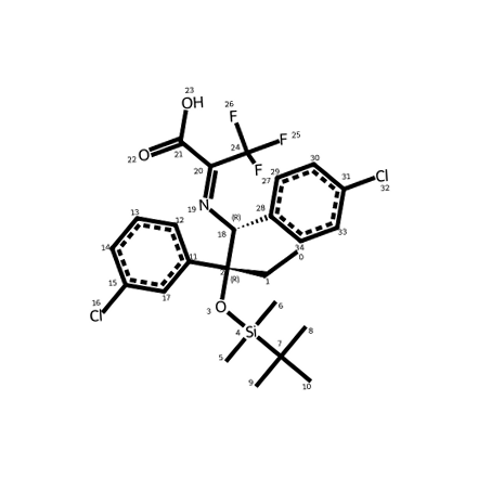 CC[C@@](O[Si](C)(C)C(C)(C)C)(c1cccc(Cl)c1)[C@H](N=C(C(=O)O)C(F)(F)F)c1ccc(Cl)cc1